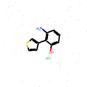 Cl.Nc1cccc(O)c1-c1ccsc1